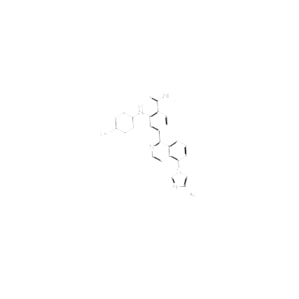 CC(=O)c1cn(-c2cccc3c(-c4ccc(C(N)=O)c(NC5CCC(O)CC5)c4)nccc23)cn1